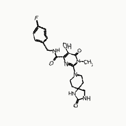 Cn1c(N2CCC3(CC2)CNC(=O)N3)nc(C(=O)NCc2ccc(F)cc2)c(O)c1=O